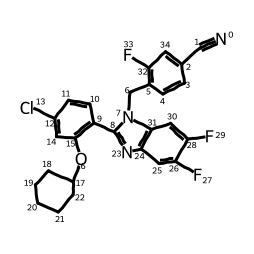 N#Cc1ccc(Cn2c(-c3ccc(Cl)cc3OC3CCCCC3)nc3cc(F)c(F)cc32)c(F)c1